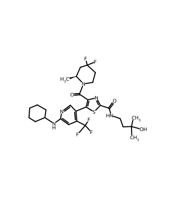 C[C@H]1CC(F)(F)CCN1C(=O)c1nc(C(=O)NCCC(C)(C)O)sc1-c1cnc(NC2CCCCC2)cc1C(F)(F)F